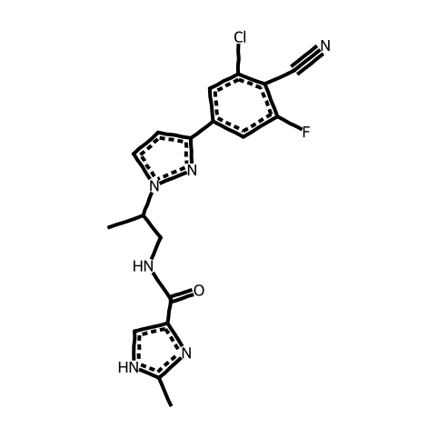 Cc1nc(C(=O)NCC(C)n2ccc(-c3cc(F)c(C#N)c(Cl)c3)n2)c[nH]1